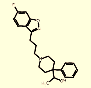 CC(O)C1(c2ccccc2)CCN(CCCc2noc3cc(F)ccc23)CC1